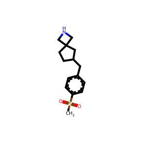 CS(=O)(=O)c1ccc(CC2CCC3(CNC3)C2)cc1